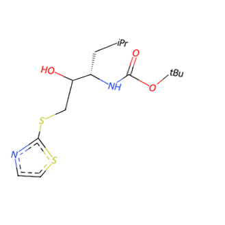 CC(C)C[C@H](NC(=O)OC(C)(C)C)C(O)CSc1nccs1